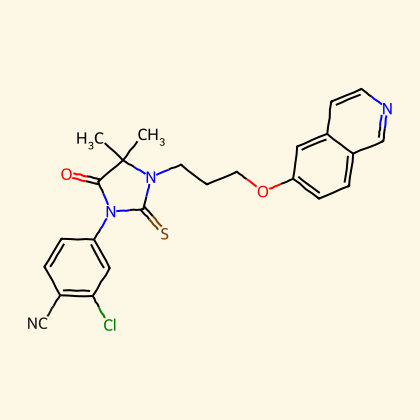 CC1(C)C(=O)N(c2ccc(C#N)c(Cl)c2)C(=S)N1CCCOc1ccc2cnccc2c1